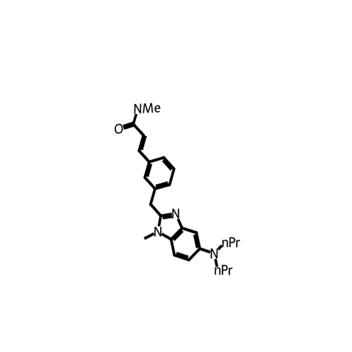 CCCN(CCC)c1ccc2c(c1)nc(Cc1cccc(/C=C/C(=O)NC)c1)n2C